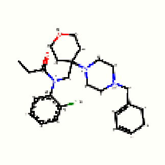 CCC(=O)N(CC1(N2CCN(CC3=CC=CCC3)CC2)CCOCC1)c1ccccc1F